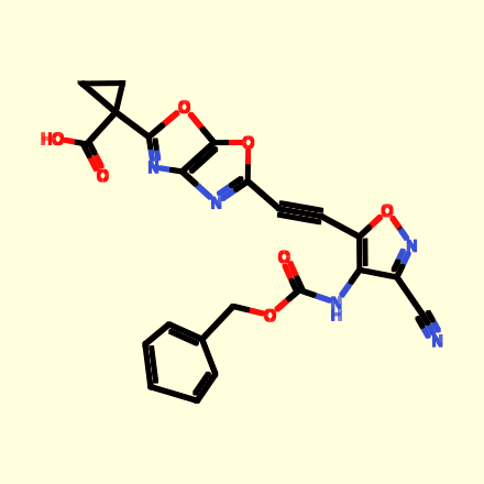 N#Cc1noc(C#Cc2nc3nc(C4(C(=O)O)CC4)oc3o2)c1NC(=O)OCc1ccccc1